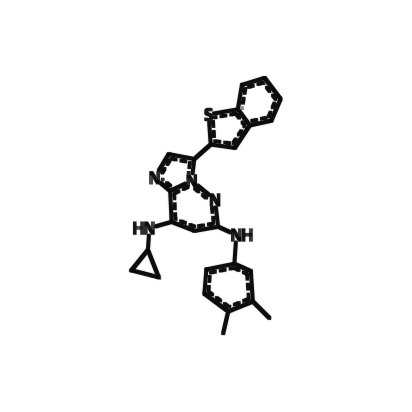 Cc1ccc(Nc2cc(NC3CC3)c3ncc(-c4cc5ccccc5s4)n3n2)cc1C